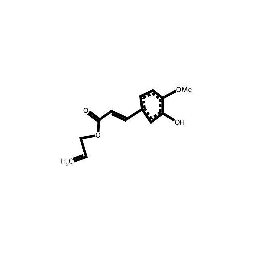 C=CCOC(=O)C=Cc1ccc(OC)c(O)c1